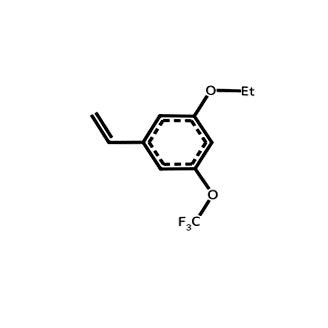 C=Cc1cc(OCC)cc(OC(F)(F)F)c1